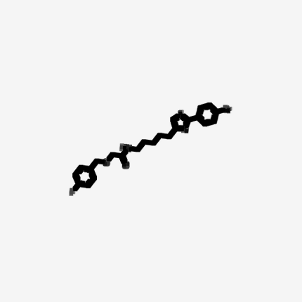 O=C(COCc1ccc(F)cc1)NCCCCCc1csc(-c2ccc(Br)cc2)n1